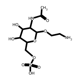 CC(=O)NC1C(OCCN)OC(COS(=O)(=O)O)C(O)C1O